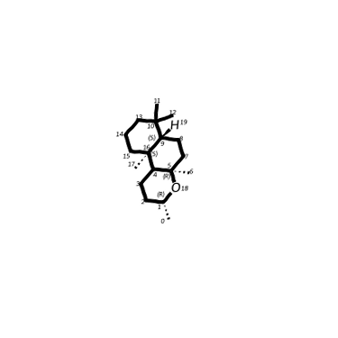 C[C@@H]1CCC2[C@@](C)(CC[C@H]3C(C)(C)CCC[C@]23C)O1